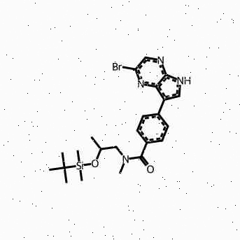 CC(CN(C)C(=O)c1ccc(-c2c[nH]c3ncc(Br)nc23)cc1)O[Si](C)(C)C(C)(C)C